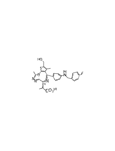 Cc1c(CO)sc2c1C(c1ccc(NCc3ccc(F)cc3)cc1)=N[C@@H](C(C)C(=O)O)c1nnc(C)n1-2